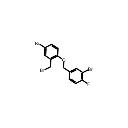 Fc1ccc(COc2ccc(Br)cc2CBr)cc1Br